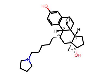 C=CC12CCc3cc(O)ccc3[C@H]1[C@@H](CCCCCN1CCCC1)C[C@]1(C)[C@@H](O)CC[C@@H]21